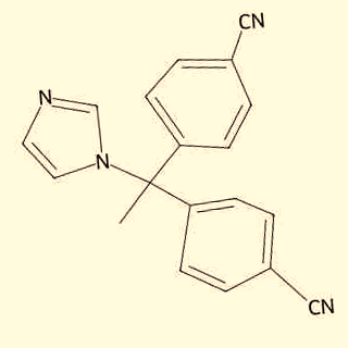 CC(c1ccc(C#N)cc1)(c1ccc(C#N)cc1)n1ccnc1